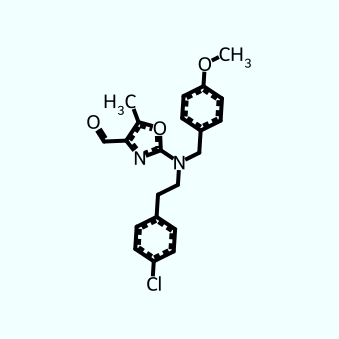 COc1ccc(CN(CCc2ccc(Cl)cc2)c2nc(C=O)c(C)o2)cc1